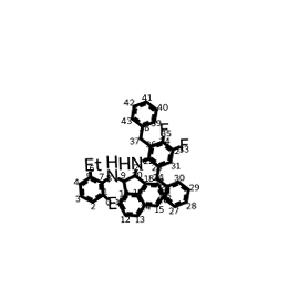 CCc1cccc(CC)c1NC1c2cccc3cccc(c23)C1Nc1c(Cc2ccccc2)cc(F)c(F)c1Cc1ccccc1